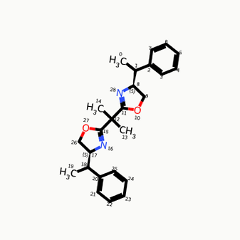 CC(c1ccccc1)[C@H]1COC(C(C)(C)C2=N[C@@H](C(C)c3ccccc3)CO2)=N1